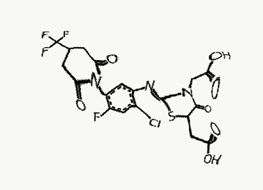 O=C(O)CC1SC(=Nc2cc(N3C(=O)CC(C(F)(F)F)CC3=O)c(F)cc2Cl)N(CC(=O)O)C1=O